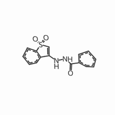 O=C(NNC1=CS(=O)(=O)c2ccccc21)c1ccccc1